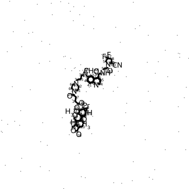 CC(C)[C@]12C[C@H]1[C@@H]1O[C@@]13[C@@]1(C)CCC4=C(COC4=O)[C@@H]1CO[C@]3(C)[C@@H]2OC(=O)CCC(=O)N1CCN(CCCN(C)c2ccc3nccc(C(=O)NCC(=O)N4CC(F)(F)C[C@H]4C#N)c3c2)CC1